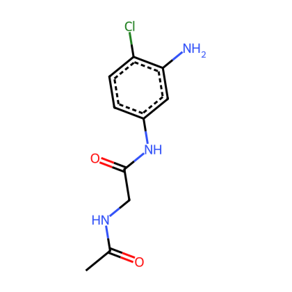 CC(=O)NCC(=O)Nc1ccc(Cl)c(N)c1